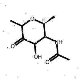 CC(=O)NC1C(O)C(=O)C(C)O[C@H]1C